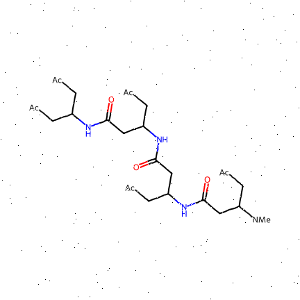 CNC(CC(C)=O)CC(=O)NC(CC(C)=O)CC(=O)NC(CC(C)=O)CC(=O)NC(CC(C)=O)CC(C)=O